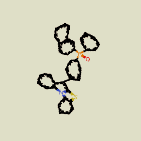 O=P(c1ccccc1)(c1ccc(-c2c3ccccc3n3c2sc2ccccc23)cc1)c1ccc2ccccc2c1